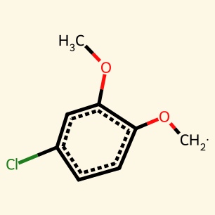 [CH2]Oc1ccc(Cl)cc1OC